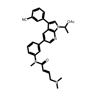 CC(=O)OC(C)n1cc(-c2cccc(C#N)c2)c2cc(-c3cccc(N(C)C(=O)C=CCN(C)C)c3)cnc21